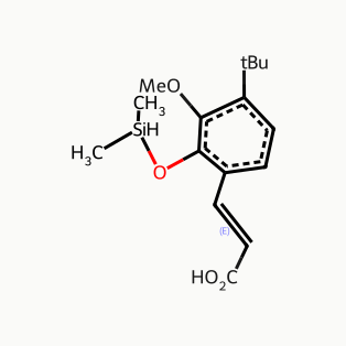 COc1c(C(C)(C)C)ccc(/C=C/C(=O)O)c1O[SiH](C)C